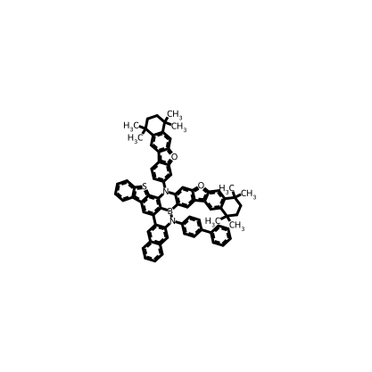 CC1(C)CCC(C)(C)c2cc3c(cc21)oc1cc(N2c4cc5oc6cc7c(cc6c5cc4B4c5c(cc6c(sc8ccccc86)c52)-c2cc5ccccc5cc2N4c2ccc(-c4ccccc4)cc2)C(C)(C)CCC7(C)C)ccc13